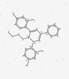 CCCCP1C(c2ccc(C)cc2C)=CC(c2ccccc2)=CC1c1ccc(C)cc1C